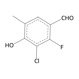 Cc1cc(C=O)c(F)c(Cl)c1O